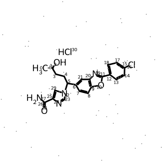 C[C@H](O)CCC(c1ccc2oc(-c3ccc(Cl)cc3)nc2c1)n1cnc(C(N)=O)c1.Cl